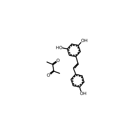 CC(=O)C(C)=O.Oc1ccc(C=Cc2cc(O)cc(O)c2)cc1